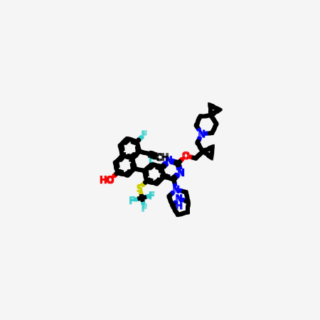 C#Cc1c(F)ccc2cc(O)cc(-c3c(SC(F)(F)F)cc4c(N5CC6CCC(C5)N6)nc(OCC5(CN6CCC7(CC6)CC7)CC5)nc4c3F)c12